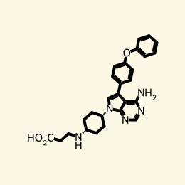 Nc1ncnc2c1c(-c1ccc(Oc3ccccc3)cc1)cn2[C@H]1CC[C@@H](NCCC(=O)O)CC1